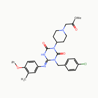 COC(=O)CN1CCC(n2c(=O)[nH]/c(=N\c3ccc(OC(C)C)c(C)c3)n(Cc3ccc(Cl)cc3)c2=O)CC1